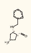 BN1C[C@@H](C=O)[C@@H](NCc2ccccc2)C1